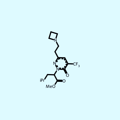 COC(=O)C(CC(C)C)n1nc(CCN2CCC2)cc(C(F)(F)F)c1=O